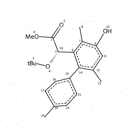 COC(=O)[C@@H](OC(C)(C)C)c1c(C)c(O)cc(C)c1-c1ccc(C)cc1